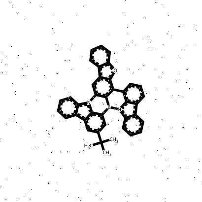 CC(C)(C)c1cc2c3c(c1)c1ccccc1n3-c1cc3c(oc4ccccc43)c3c1B2n1c2ccccc2c2cccc-3c21